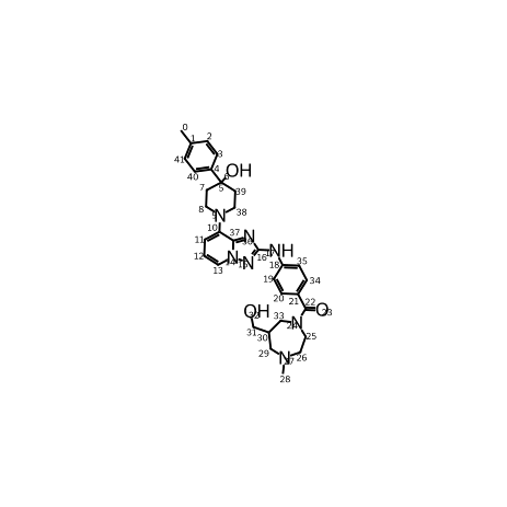 Cc1ccc(C2(O)CCN(c3cccn4nc(Nc5ccc(C(=O)N6CCN(C)CC(CO)C6)cc5)nc34)CC2)cc1